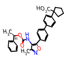 Cc1noc(-c2ccc(-c3ccc(C4(C(=O)O)CCCC4)cc3)cc2)c1NC(=O)O[C@H](C)c1ccccc1